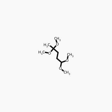 COC(CCC(C)(OC)OC)OC